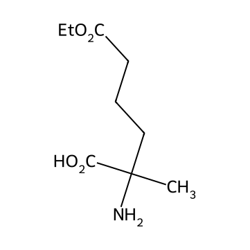 CCOC(=O)CCCC(C)(N)C(=O)O